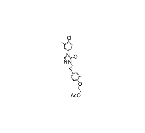 CC(=O)OCCOc1ccc(SCn2ncn(-c3ccc(Cl)c(C)c3)c2=O)cc1C